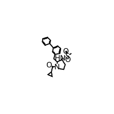 CS(=O)(=O)NC1CCCN(C(=O)C2CC2)C1Cc1cccc(-c2ccccc2)c1